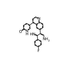 N=C(/C(=C\N)c1ccc2nccc(-c3ccc(=O)[nH]c3)c2c1)c1ccc(F)cc1